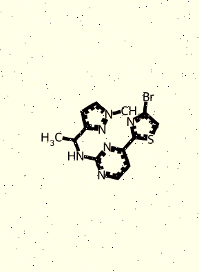 CC(Nc1nccc(-c2nc(Br)cs2)n1)c1ccn(C)n1